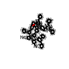 [C-]#[N+]c1ccc2c(c1)N(c1cc(-c3ccccc3)cc(-c3ccccc3)c1)c1cc(-c3ccc4c(c3)c3ccccc3n4-c3ccc(-c4nc(-c5ccccc5)nc(-c5ccccc5)n4)cc3-c3nc(-c4ccccc4)nc(-c4ccccc4)n3)cc3c1B2c1ccc(C#N)cc1N3c1cc(-c2ccccc2)cc(-c2ccccc2)c1